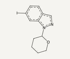 Ic1ccc2cnn(C3CCCCO3)c2c1